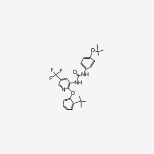 CC(C)(C)Oc1ccc(NC(=O)Nc2cc(C(F)(F)F)cnc2Oc2ccccc2C(C)(C)C)cc1